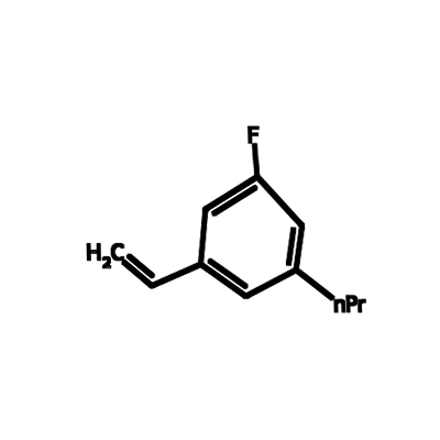 C=Cc1cc(F)cc(CCC)c1